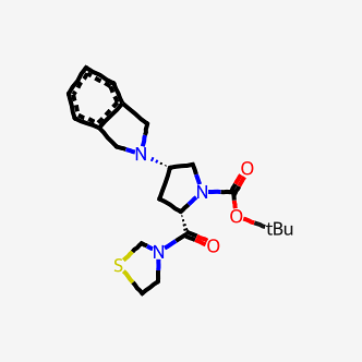 CC(C)(C)OC(=O)N1C[C@@H](N2Cc3ccccc3C2)C[C@H]1C(=O)N1CCSC1